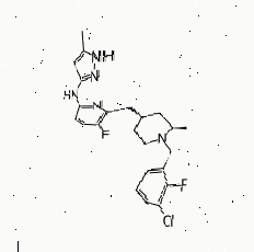 Cc1cc(Nc2ccc(F)c(C[C@@H]3CCN(Cc4cccc(Cl)c4F)[C@H](C)C3)n2)n[nH]1